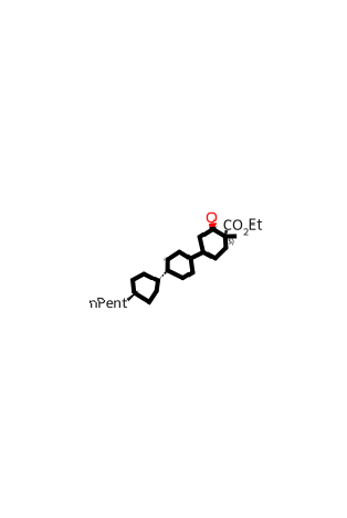 CCCCC[C@H]1CC[C@H](C2CCC(C3CC[C@](C)(C(=O)OCC)C(=O)C3)CC2)CC1